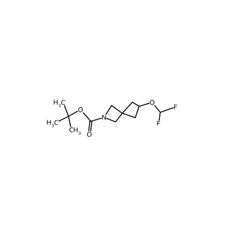 CC(C)(C)OC(=O)N1CC2(CC(OC(F)F)C2)C1